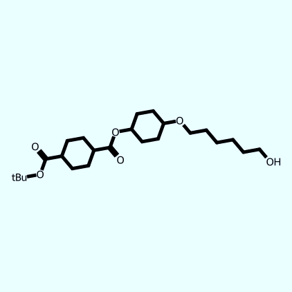 CC(C)(C)OC(=O)C1CCC(C(=O)OC2CCC(OCCCCCCO)CC2)CC1